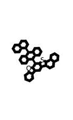 c1ccc2c(-c3c4ccccc4c(-c4c5oc6ccccc6c5cc5c4sc4c6ccccc6ccc54)c4ccccc34)cccc2c1